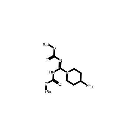 CC(C)(C)OC(=O)/N=C(\NC(=O)OC(C)(C)C)N1CCC(N)CC1